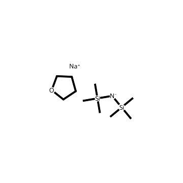 C1CCOC1.C[Si](C)(C)[N-][Si](C)(C)C.[Na+]